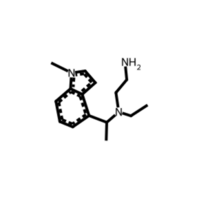 CCN(CCN)C(C)c1cccc2c1ccn2C